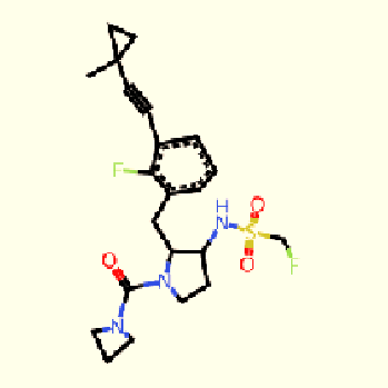 CC1(C#Cc2cccc(CC3C(NS(=O)(=O)CF)CCN3C(=O)N3CCC3)c2F)CC1